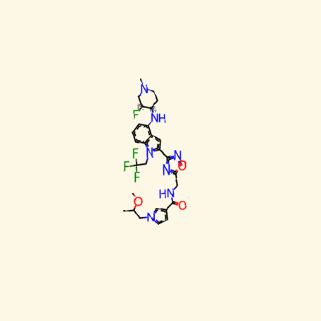 COC(C)Cn1ccc(C(=O)NCc2nc(-c3cc4c(N[C@@H]5CCN(C)C[C@@H]5F)cccc4n3CC(F)(F)F)no2)c1